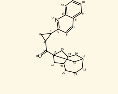 O=C(C1CC1c1ccc2ccccc2n1)C12CC3CCCC(C1)C(C3)C2